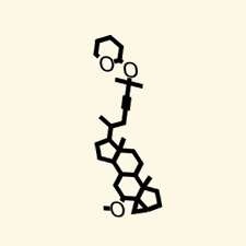 COC1CC2C3CCC(C(C)CC#CC(C)(C)OC4CCCCO4)C3(C)CCC2C2(C)CCC3CC312